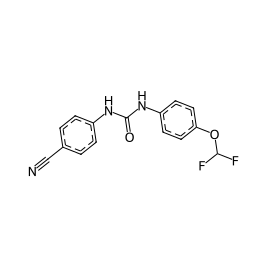 N#Cc1ccc(NC(=O)Nc2ccc(OC(F)F)cc2)cc1